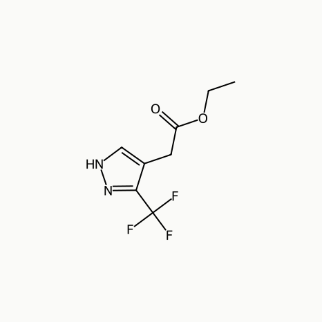 CCOC(=O)Cc1c[nH]nc1C(F)(F)F